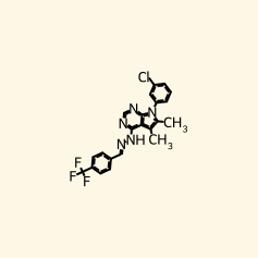 Cc1c(C)n(-c2cccc(Cl)c2)c2ncnc(N/N=C/c3ccc(C(F)(F)F)cc3)c12